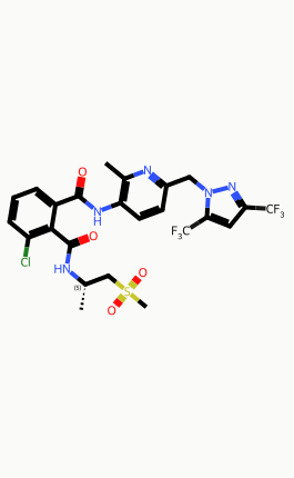 Cc1nc(Cn2nc(C(F)(F)F)cc2C(F)(F)F)ccc1NC(=O)c1cccc(Cl)c1C(=O)N[C@@H](C)CS(C)(=O)=O